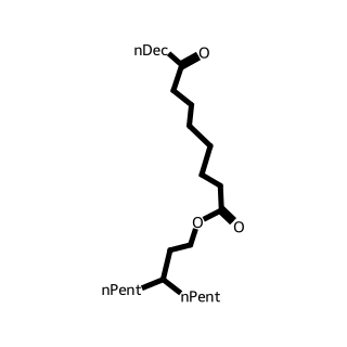 CCCCCCCCCCC(=O)CCCCCCC(=O)OCCC(CCCCC)CCCCC